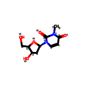 Cn1c(=O)ccn([C@H]2C[C@@H](O)C(CO)O2)c1=O